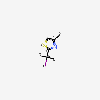 Cc1csc(C(C)(C)I)n1